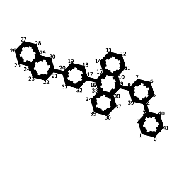 c1ccc(-c2cccc(-c3c4ccccc4c(-c4ccc(-c5ccc6ccccc6c5)cc4)c4ccccc34)c2)cc1